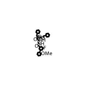 COc1ccccc1-c1cc(F)cc(C(=O)NC[C@@H](NC(=O)OCc2ccccc2)C(=O)OCc2ccccc2)c1